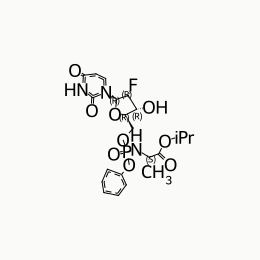 CC(C)OC(=O)[C@H](C)NP(=O)(OC[C@H]1O[C@@H](n2ccc(=O)[nH]c2=O)[C@H](F)[C@@H]1O)Oc1ccccc1